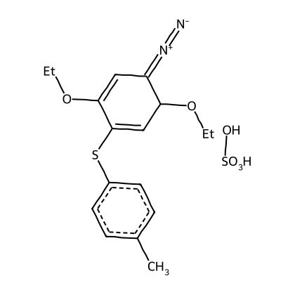 CCOC1=CC(=[N+]=[N-])C(OCC)C=C1Sc1ccc(C)cc1.O=S(=O)(O)O